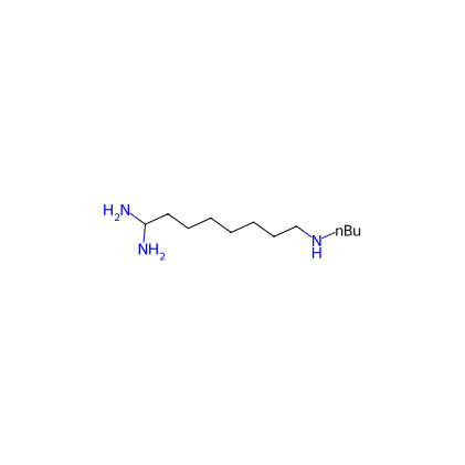 CCCCNCCCCCCCC(N)N